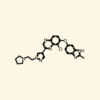 Cc1nc2ccc(Oc3ccc4ncc(-c5cnn(CCN6CCCC6)c5)nc4c3Cl)cc2[nH]1